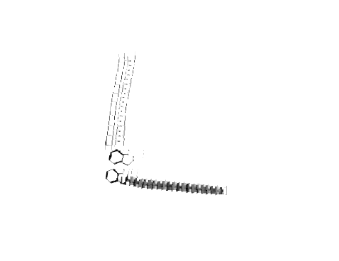 Cl.Cl.Cl.Cl.Cl.Cl.Cl.Cl.Cl.Cl.Cl.Cl.Cl.Cl.Cl.Cl.Cl.Cl.Cl.Cl.Cl.Cl.Cl.Cl.Cl.Cl.Cl.Cl.Cl.Cl.Cl.Cl.Cl.Cl.Cl.Cl.Cl.Cl.Cl.Cl.Cl.Cl.c1ccc2c(c1)CCN2.c1ccc2c(c1)CCN2